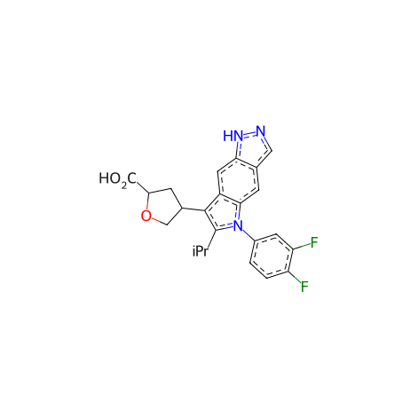 CC(C)c1c(C2COC(C(=O)O)C2)c2cc3[nH]ncc3cc2n1-c1ccc(F)c(F)c1